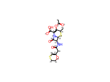 CC(=O)OC1=C(C(=O)O)N2C(=O)C(NC(=O)CC3=CSCCO3)C2SC1C